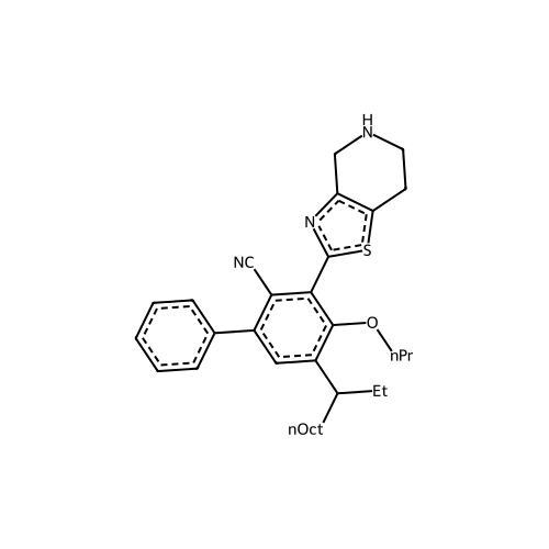 CCCCCCCCC(CC)c1cc(-c2ccccc2)c(C#N)c(-c2nc3c(s2)CCNC3)c1OCCC